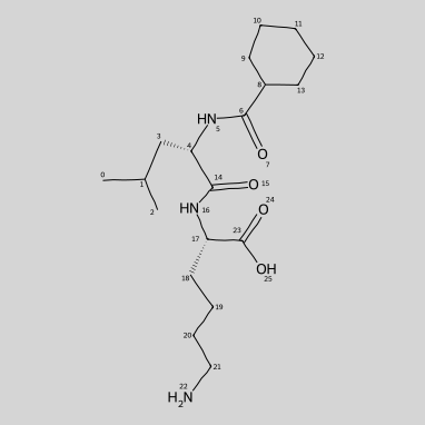 CC(C)C[C@H](NC(=O)C1CCCCC1)C(=O)N[C@@H](CCCCN)C(=O)O